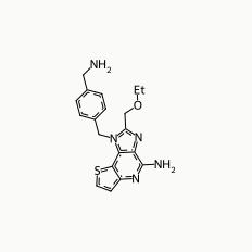 CCOCc1nc2c(N)nc3ccsc3c2n1Cc1ccc(CN)cc1